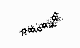 COc1cc(N2CCN(Cc3cc(F)c4c(c3)CN(C3CCC(=O)NC3=O)C4=O)CC2)c(C)cc1Nc1ncc(Br)c(Nc2ccc3nccnc3c2P(C)(C)=O)n1